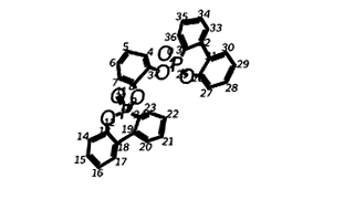 O=P1(Oc2ccccc2OP2(=O)Oc3ccccc3-c3ccccc32)Oc2ccccc2-c2ccccc21